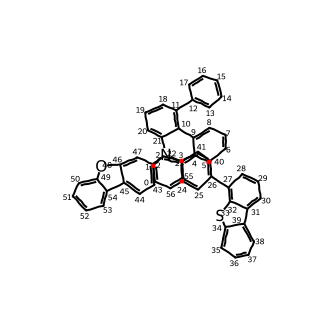 c1ccc(-c2ccccc2-c2c(-c3ccccc3)cccc2N(c2ccc(-c3cccc4c3sc3ccccc34)cc2)c2ccc3c(c2)oc2ccccc23)cc1